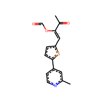 CC(=O)/C(=C/c1ccc(-c2ccnc(C)c2)s1)OC=O